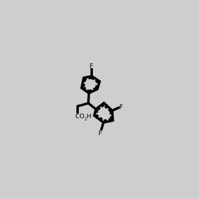 O=C(O)CC(c1ccc(F)cc1)c1cc(F)cc(F)c1